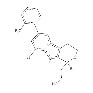 CCc1cc(-c2ccccc2C(F)(F)F)cc2c3c([nH]c12)C(CC)(CCO)OCC3